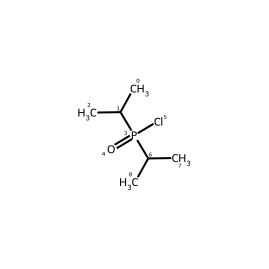 CC(C)P(=O)(Cl)C(C)C